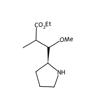 CCOC(=O)C(C)C(OC)[C@@H]1CCCN1